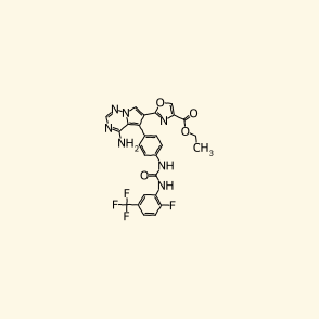 CCOC(=O)c1coc(-c2cn3ncnc(N)c3c2-c2ccc(NC(=O)Nc3cc(C(F)(F)F)ccc3F)cc2)n1